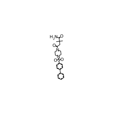 CC(C)(CC(=O)N1CCN(S(=O)(=O)c2ccc(-c3ccccc3)cc2)CC1)C(N)=O